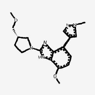 COC[C@H]1CCN(c2nc3c(-c4cnn(C)c4)ccc(OC)c3[nH]2)C1